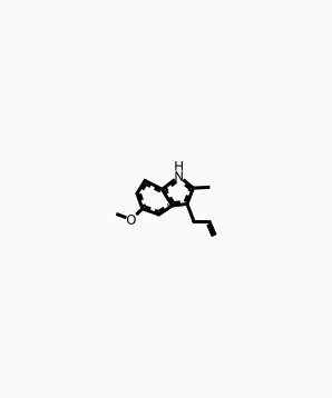 C=CCc1c(C)[nH]c2ccc(OC)cc12